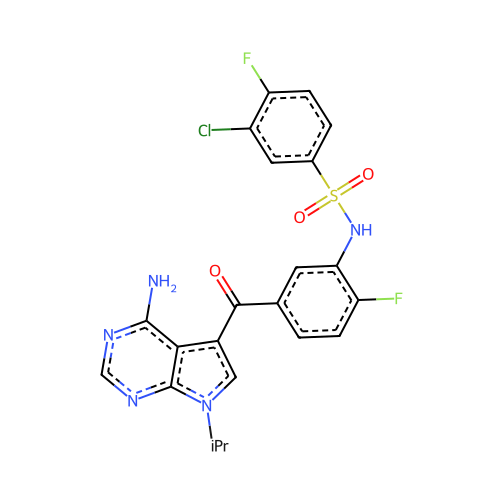 CC(C)n1cc(C(=O)c2ccc(F)c(NS(=O)(=O)c3ccc(F)c(Cl)c3)c2)c2c(N)ncnc21